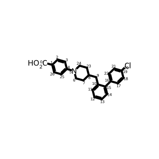 O=C(O)c1ccc(N2CCC(Cc3ccccc3-c3ccc(Cl)cc3)CC2)cc1